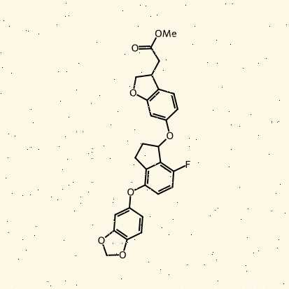 COC(=O)CC1COc2cc(OC3CCc4c(Oc5ccc6c(c5)OCO6)ccc(F)c43)ccc21